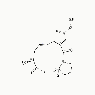 C[C@H]1C/C=C/C[C@@H](CC(=O)OC(C)(C)C)C(=O)N2CCC[C@H]2COC1=O